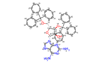 Nc1nc(N)c2ncn([C@@H]3O[C@H](COC(c4ccccc4)(c4ccccc4)c4ccccc4)[C@@H](OC(c4ccccc4)(c4ccccc4)c4ccccc4)[C@H]3O)c2n1